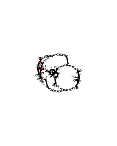 O=C1NCCN2CCNC(=O)c3ccc(c(=O)n3O)C(=O)NCCN(CCNC(=O)c3ccc1c(=O)n3O)CCOCCN1CCNC(=O)c3ccc(n(OCc4ccccc4)c3=O)C(=O)NCCN(CCNC(=O)c3ccc(n(O)c3=O)C(=O)NCC1)CCOCC2